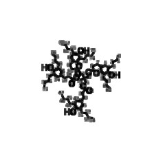 CCCCc1cc(CCC(=O)OCC(COC(=O)CCc2cc(CCCC)c(O)c(CCCC)c2)(COC(=O)CCc2cc(CCCC)c(O)c(CCCC)c2)COC(=O)CCc2cc(CCCC)c(O)c(CCCC)c2)cc(CCCC)c1O